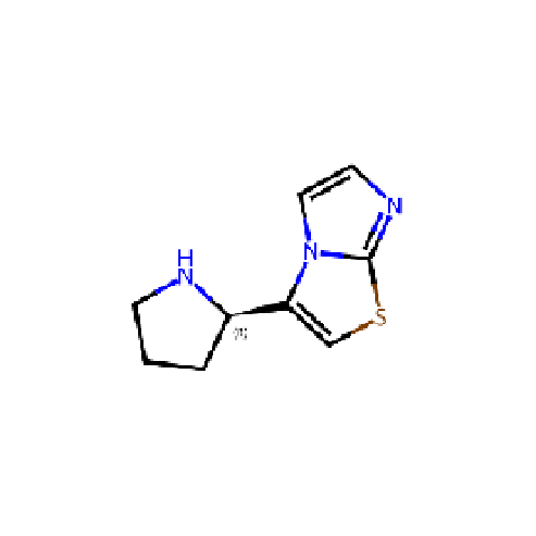 c1cn2c([C@H]3CCCN3)csc2n1